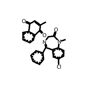 CC1=CC(=O)c2ccccc2C1=O.CN1C(=O)CN=C(c2ccccc2)c2cc(Cl)ccc21